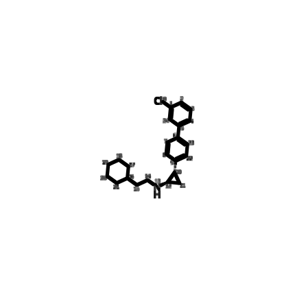 Clc1cccc(-c2ccc([C@@H]3C[C@H]3NCCC3CCCCC3)cc2)c1